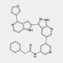 O=C(Cc1ccccc1)Nc1cncc(-c2cnc3[nH]nc(-c4cc5c(-c6ccoc6)nccc5[nH]4)c3c2)c1